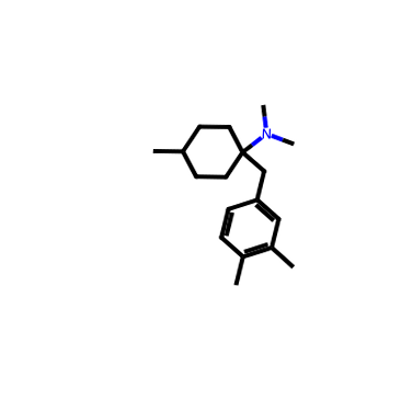 Cc1ccc(CC2(N(C)C)CCC(C)CC2)cc1C